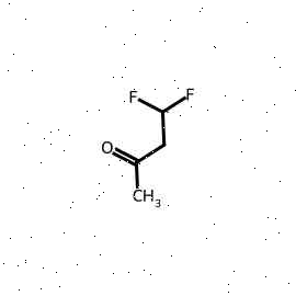 CC(=O)C[C](F)F